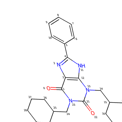 O=c1c2nc(-c3[c]cccc3)[nH]c2n(CC2CCCCC2)c(=O)n1CC1CCCCC1